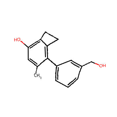 Cc1cc(O)c2c(c1-c1cccc(CO)c1)CC2